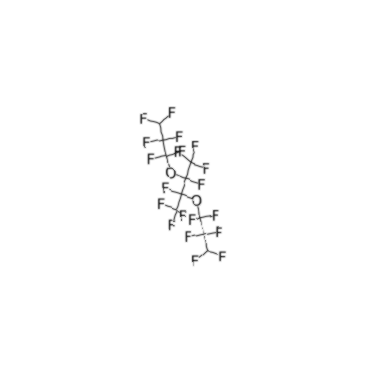 FC(F)C(F)(F)C(F)(F)OC(F)(C(F)(F)F)C(F)(OC(F)(F)C(F)(F)C(F)F)C(F)(F)F